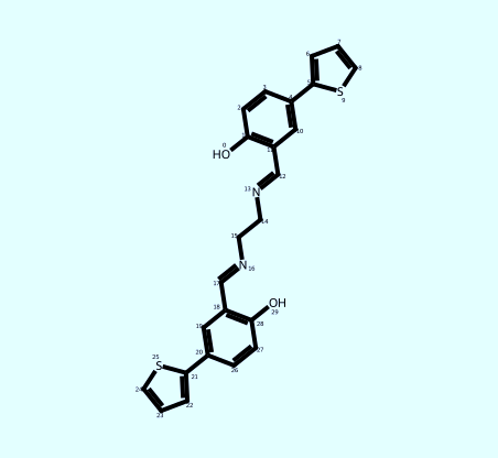 Oc1ccc(-c2cccs2)cc1/C=N/CC/N=C/c1cc(-c2cccs2)ccc1O